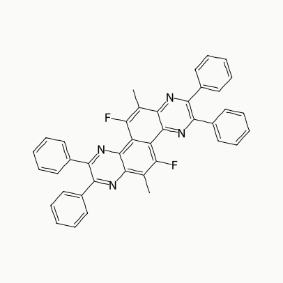 Cc1c(F)c2c3nc(-c4ccccc4)c(-c4ccccc4)nc3c(C)c(F)c2c2nc(-c3ccccc3)c(-c3ccccc3)nc12